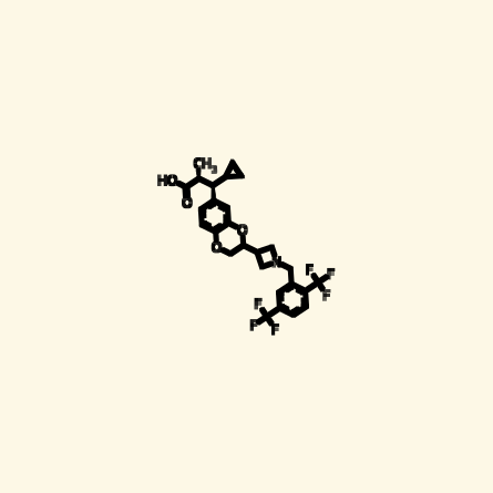 C[C@H](C(=O)O)[C@H](c1ccc2c(c1)OC(C1CN(Cc3cc(C(F)(F)F)ccc3C(F)(F)F)C1)CO2)C1CC1